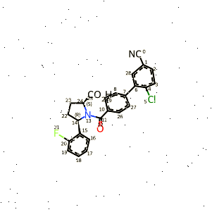 N#Cc1ccc(Cl)c(-c2ccc(C(=O)N3[C@@H](c4ccccc4F)CC[C@H]3C(=O)O)cc2)c1